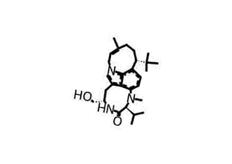 C/C1=C/Cn2cc3c4c(ccc(c42)[C@@H](C(C)(C)C)CC1)N(C)[C@@H](C(C)C)C(=O)N[C@H](CO)C3